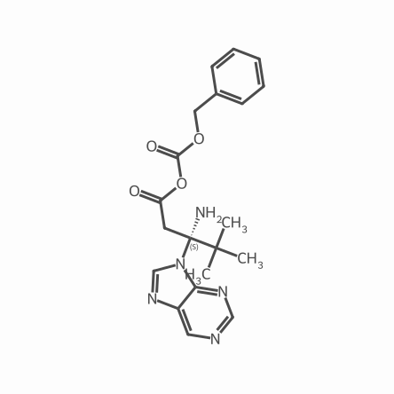 CC(C)(C)[C@](N)(CC(=O)OC(=O)OCc1ccccc1)n1cnc2cncnc21